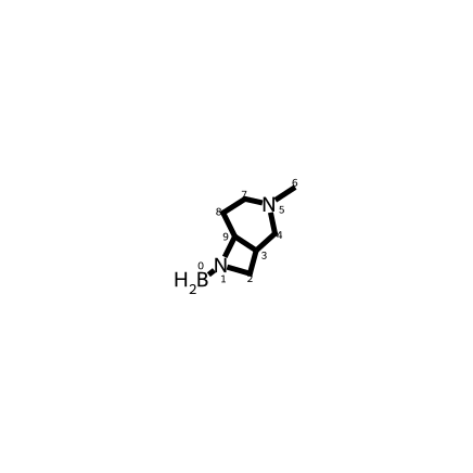 BN1CC2CN(C)CCC21